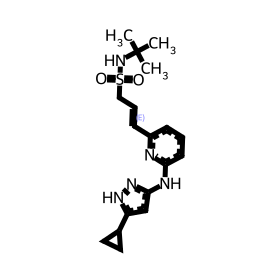 CC(C)(C)NS(=O)(=O)C/C=C/c1cccc(Nc2cc(C3CC3)[nH]n2)n1